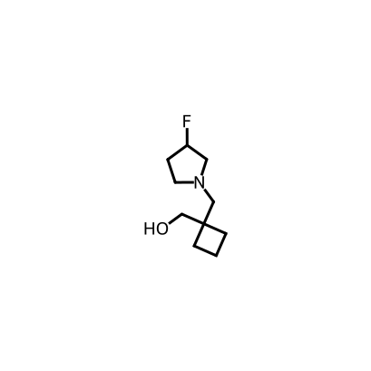 OCC1(CN2CCC(F)C2)CCC1